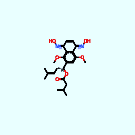 COc1cc([C@@H](CC=C(C)C)OC(=O)CC(C)C)c(OC)c2c1/C(=N/O)C=C/C2=N\O